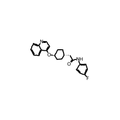 O=C(C[C@H]1CC[C@H](Oc2ccnc3ccccc23)CC1)Nc1ccc(F)cc1